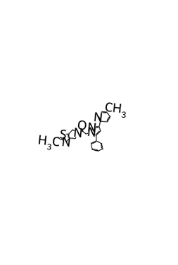 Cc1ccc(-c2cc(-c3ccccc3)n(CC(=O)N3Cc4nc(C)sc4C3)n2)nc1